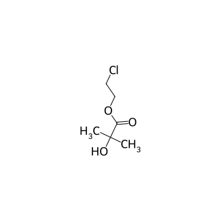 CC(C)(O)C(=O)OCCCl